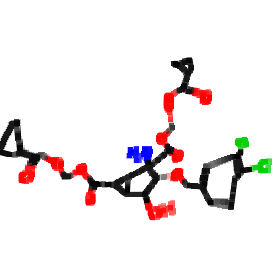 N[C@]1(C(=O)OCOC(=O)C2CC2)C2C(C(=O)OCOC(=O)C3CC3)C2[C@H](O)[C@H]1OCc1ccc(Cl)c(Cl)c1